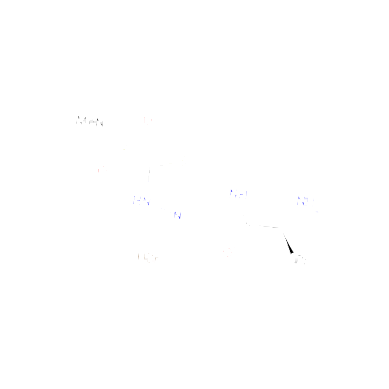 Br.CNS(=O)(=O)C1NN(C)C(NC(=O)[C@@H](N)C(C)C)S1